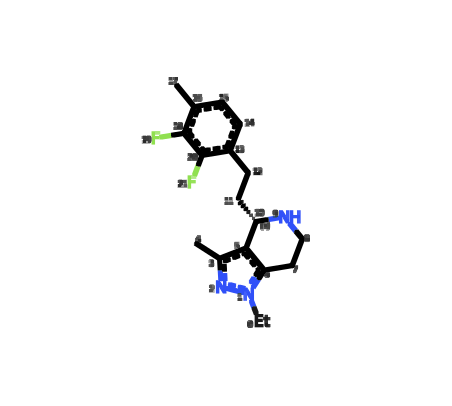 CCn1nc(C)c2c1CCN[C@H]2CCc1ccc(C)c(F)c1F